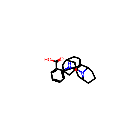 O=C(O)c1ccccc1NC1CC2CCCC(C1)N2C12CC3CC(CC(C3)C1)C2